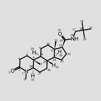 CN1C(=O)CC[C@]2(C)[C@H]3CC[C@]4(C)[C@@H](C(=O)NCC(C)(C)C)CC[C@H]4[C@@H]3CC[C@@H]12